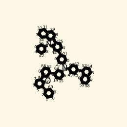 c1ccc(-c2cccc3c2oc2c(-c4cccc(N(c5ccc(-c6ccc7c8ccc9ccccc9c8n(-c8ccccc8)c7c6)cc5)c5ccc(-c6cccc7ccccc67)cc5)c4)cccc23)cc1